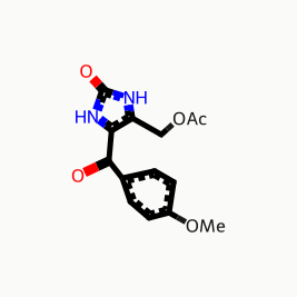 COc1ccc(C(=O)c2[nH]c(=O)[nH]c2COC(C)=O)cc1